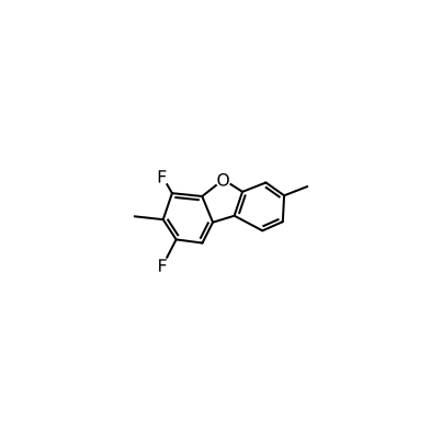 Cc1ccc2c(c1)oc1c(F)c(C)c(F)cc12